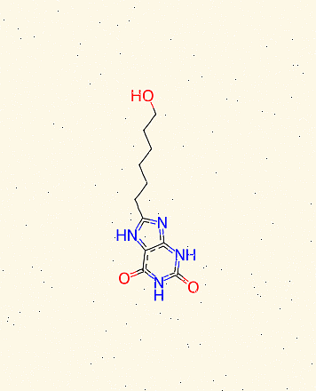 O=c1[nH]c(=O)c2[nH]c(CCCCCCO)nc2[nH]1